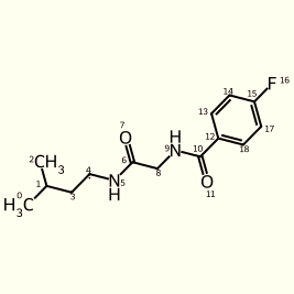 CC(C)C[CH]NC(=O)CNC(=O)c1ccc(F)cc1